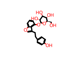 OC[C@H]1O[C@@H](Oc2cccc3occ(CCc4ccc(O)cc4)c23)[C@H](O)[C@@H](O)[C@@H]1O